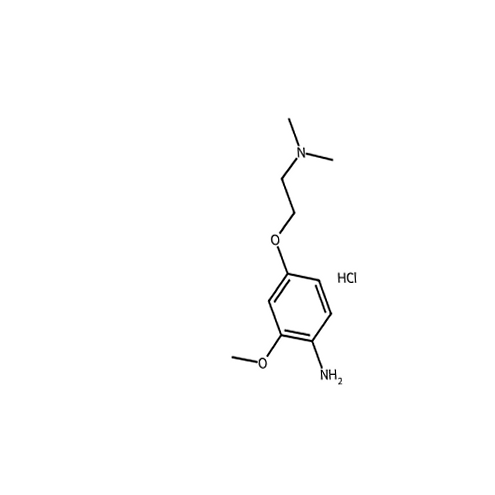 COc1cc(OCCN(C)C)ccc1N.Cl